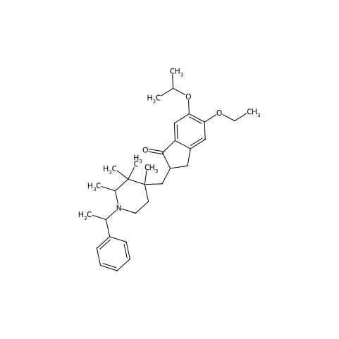 CCOc1cc2c(cc1OC(C)C)C(=O)C(CC1(C)CCN(C(C)c3ccccc3)C(C)C1(C)C)C2